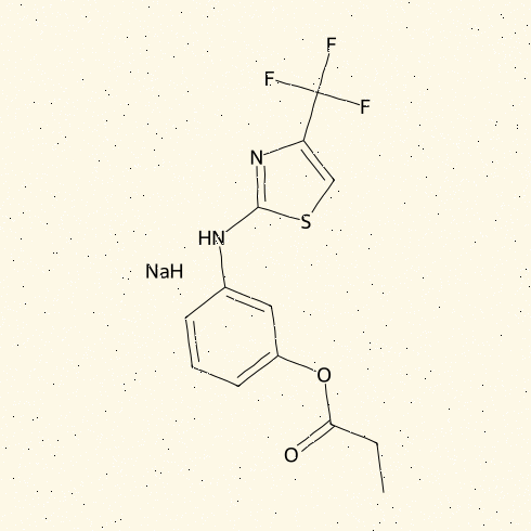 CCC(=O)Oc1cccc(Nc2nc(C(F)(F)F)cs2)c1.[NaH]